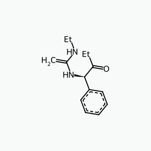 C=C(NCC)N[C@@H](C(=O)CC)c1ccccc1